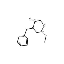 C[C@@H]1CO[C@H](CI)CN1Cc1ccccc1